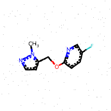 Cn1nccc1COc1ccc(F)cn1